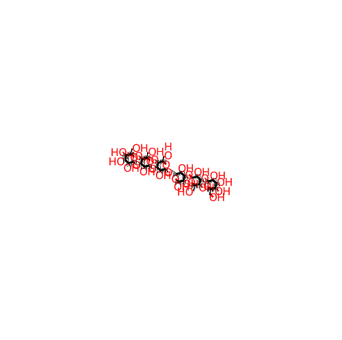 OC[C@H]1O[C@@H](O[C@@H]2[C@H](O)[C@H](O[C@@H]3[C@H](O)[C@H](OC[C@H]4O[C@@H](O)[C@@H](O)[C@@H](OC5O[C@H](CO)[C@H](O)[C@H](O[C@@H]6O[C@H](CO)[C@H](O)[C@H](O)[C@@H]6O)[C@@H]5O)[C@H]4O)O[C@H](CO)[C@@H]3O)O[C@H](CO)[C@@H]2O)[C@@H](O)[C@@H](O)[C@H]1O